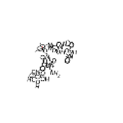 CNC(=O)CCN(CCOC12CC3(C)CC(C)(CC(Cn4ncc(-c5ccc(N6CCc7cccc(C(=O)Nc8nc9ccccc9s8)c7C6)nc5C(=O)O)c4C)(C3)C1)C2)C(=O)OCc1ccc(O[C@@H]2O[C@H](C(=O)O)[C@@H](O)[C@H](O)[C@H]2O)cc1OCCCN